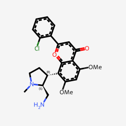 COc1cc(OC)c2c(=O)cc(-c3ccccc3Cl)oc2c1[C@H]1CCN(C)[C@@H]1CN